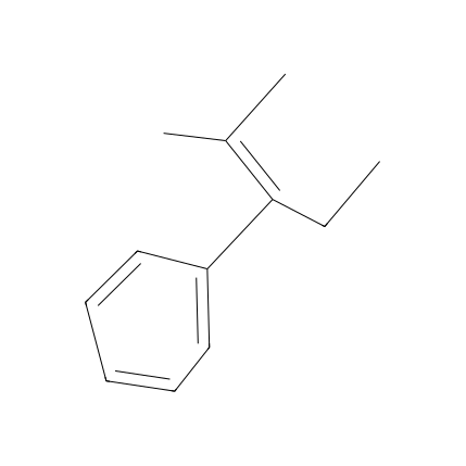 CCC(=C(C)C)c1ccccc1